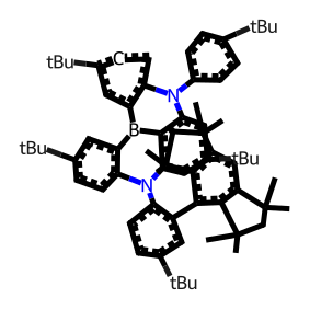 CC(C)(C)c1ccc(N2c3ccc(C(C)(C)C)cc3B3c4cc(C(C)(C)C)ccc4N(c4ccc(C(C)(C)C)cc4-c4c5c(cc6c4C(C)(C)CC6(C)C)C(C)(C)CC5(C)C)c4cc(C(C)(C)C)cc2c43)cc1